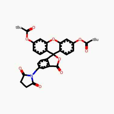 CC(C)(C)C(=O)Oc1ccc2c(c1)Oc1cc(OC(=O)C(C)(C)C)ccc1C21OC(=O)c2cc(N3C(=O)CCC3=O)ccc21